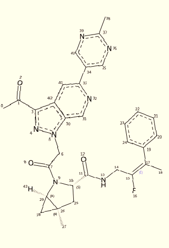 CC(=O)c1nn(CC(=O)N2[C@H](C(=O)NC/C(F)=C(/C)c3ccccc3)C[C@@]3(C)C[C@@H]23)c2cnc(-c3cnc(C)nc3)cc12